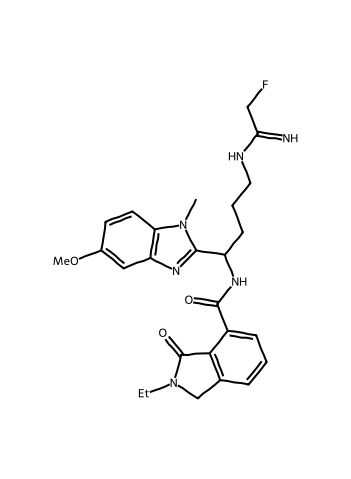 CCN1Cc2cccc(C(=O)NC(CCCNC(=N)CF)c3nc4cc(OC)ccc4n3C)c2C1=O